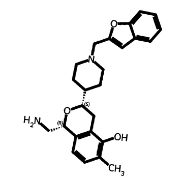 Cc1ccc2c(c1O)C[C@@H](C1CCN(Cc3cc4ccccc4o3)CC1)O[C@H]2CN